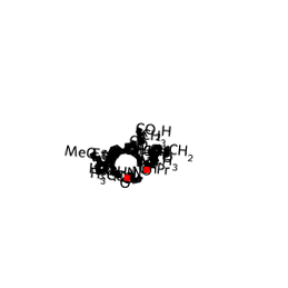 C=CC(=O)N1CCC(O)(C(=O)N(C)[C@H](C(=O)N[C@H]2Cc3cc(OC(=O)N(C)CC(=O)O)cc(c3)-c3ccc4c(c3)c(c(-c3ccccc3CCOC)n4CC)CC(C)(C)COC(=O)[C@@]3(O)CCCN(N3)C2=O)C(C)C)C1